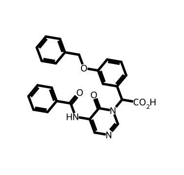 O=C(Nc1cncn(C(C(=O)O)c2cccc(OCc3ccccc3)c2)c1=O)c1ccccc1